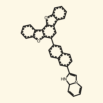 C1=CC2NC(c3ccc4cc(-c5cc6c7ccccc7oc6c6c5oc5ccccc56)ccc4c3)=CN2C=C1